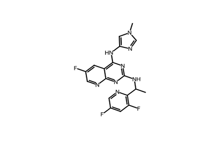 CC(Nc1nc(Nc2cn(C)cn2)c2cc(F)cnc2n1)c1ncc(F)cc1F